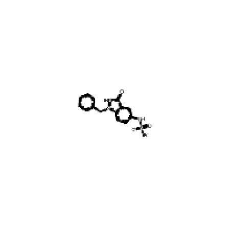 CC(C)S(=O)(=O)Nc1ccc2c(c1)c(=O)[nH]n2Cc1ccccc1